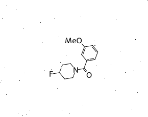 COc1[c]ccc(C(=O)N2CCC(F)CC2)c1